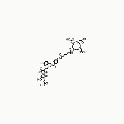 O=C(O)CC[C@@H](NC(=O)N[C@H](CCCCN(Cc1ccc(Br)nc1)C(=O)c1ccc(CNC(=O)CCCCNC(=O)CN2CCN(CC(=O)O)CCN(CC(=O)O)CCN(CC(=O)O)CC2)cc1)C(=O)O)C(=O)O